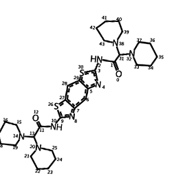 O=C(Nc1nc2cc3nc(NC(=O)C(N4CCCCC4)N4CCCCC4)sc3cc2s1)C(N1CCCCC1)N1CCCCC1